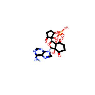 Nc1ncnc2c1ncn2[C@@H]1O[C@H](C2(OP(=O)(O)O)C(=O)CCC2=O)[C@]2(O)C(=O)CCC(=O)[C@]12O